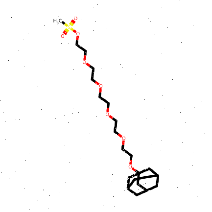 CS(=O)(=O)OCCOCCOCCOCCOCCOC12CC3CC(CC(C3)C1)C2